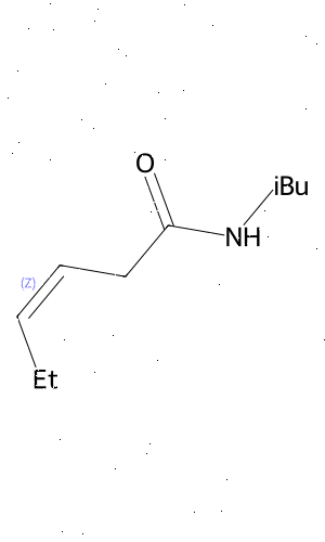 CC/C=C\CC(=O)NC(C)CC